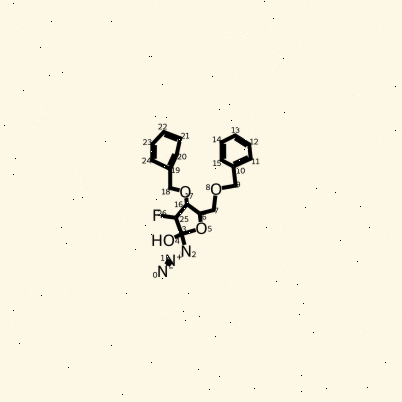 [N-]=[N+]=NC1(O)OC(COCc2ccccc2)C(OCc2ccccc2)C1F